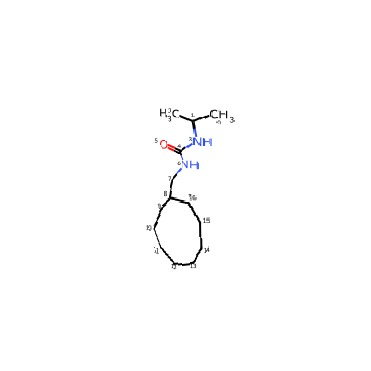 CC(C)NC(=O)NCC1CCCCCCCC1